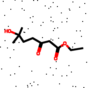 CCOC(=O)CC(=O)CCC(C)(C)O